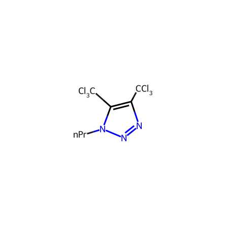 CCCn1nnc(C(Cl)(Cl)Cl)c1C(Cl)(Cl)Cl